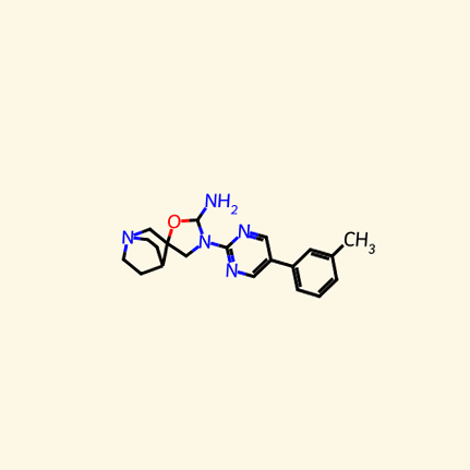 Cc1cccc(-c2cnc(N3CC4(CN5CCC4CC5)OC3N)nc2)c1